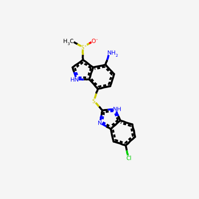 C[S+]([O-])c1c[nH]c2c(Sc3nc4cc(Cl)ccc4[nH]3)ccc(N)c12